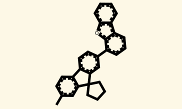 Cc1ccc2c(c1)C1(CCCC1)c1cc(-c3cccc4c3oc3ccccc34)ccc1-2